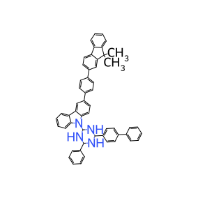 CC1(C)c2ccccc2-c2ccc(-c3ccc(-c4ccc5c(c4)c4ccccc4n5C4NC(c5ccccc5)NC(c5ccc(-c6ccccc6)cc5)N4)cc3)cc21